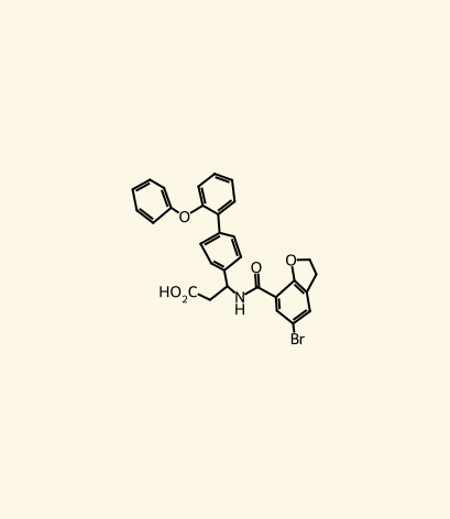 O=C(O)CC(NC(=O)c1cc(Br)cc2c1OCC2)c1ccc(-c2ccccc2Oc2ccccc2)cc1